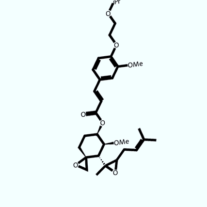 COc1cc(/C=C/C(=O)O[C@@H]2CC[C@]3(CO3)[C@@H](C3(C)OC3CC=C(C)C)[C@@H]2OC)ccc1OCCOC(C)C